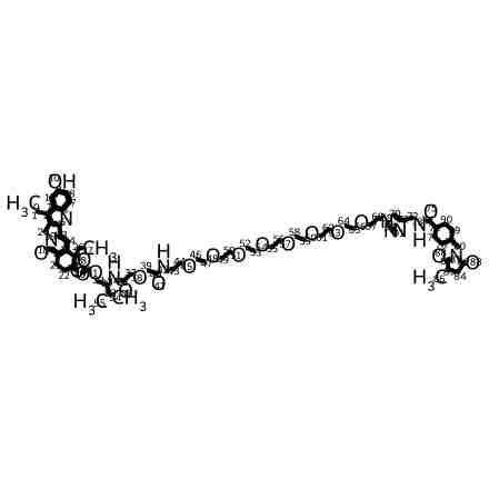 CCc1c2c(nc3ccc(O)cc13)-c1cc3c(c(=O)n1C2)CCC(=O)C3(CC)OC(=O)OCC(NC(=O)COCC(=O)NCCOCCOCCOCCOCCOCCOCCOCCOCCn1cc(CNC(=O)C2CCC(CN3C(=O)CC(C)C3=O)CC2)nn1)C(C)C